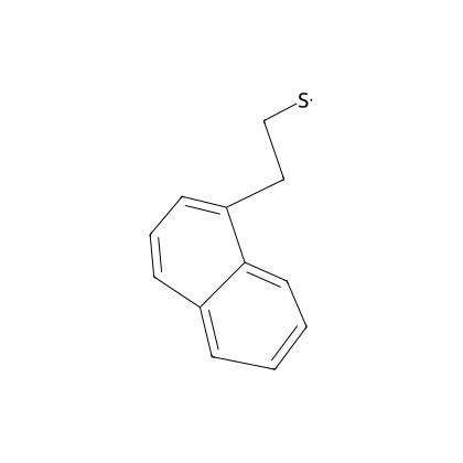 [S]CCc1cccc2ccccc12